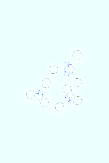 c1ccc(-c2cc(-c3ccccc3)nc(-c3cccc(-c4ccc(-n5c6ccccc6c6ccc(-c7cccc(-n8c9ccccc9c9ccccc98)c7)cc65)cc4)c3)n2)cc1